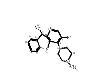 CN1CCN(c2c(F)cnc(C(C#N)c3ccccc3)c2F)CC1